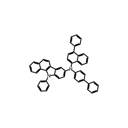 c1ccc(-c2ccc(N(c3ccc4c(c3)c3ccc5ccccc5c3n4-c3ccccc3)c3ccc(-c4ccccc4)c4ccccc34)cc2)cc1